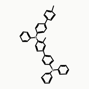 Cc1ccc(-c2ccc(N(c3ccccc3)c3ccc(-c4ccc(N(c5ccccc5)c5ccccc5)cc4)cc3C)cc2)cc1